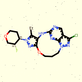 CCc1c2c(nn1[C@@H]1CCOC[C@H]1F)OCCCn1nc(Cl)c3cnc(nc31)N2